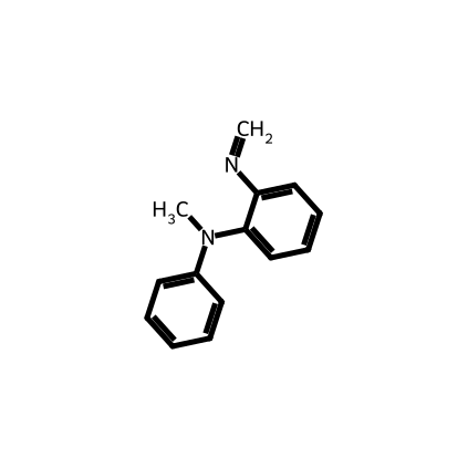 C=Nc1ccccc1N(C)c1ccccc1